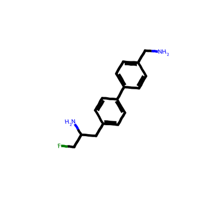 NCc1ccc(-c2ccc(CC(N)CF)cc2)cc1